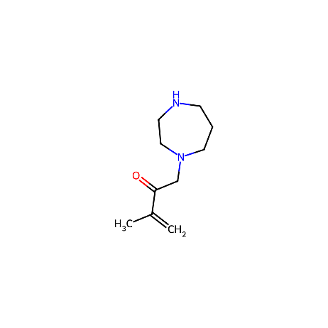 C=C(C)C(=O)CN1CCCNCC1